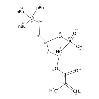 C=C(C)C(=O)OCCC(CC[N+](CCCC)(CCCC)CCCC)OP(=O)(O)O